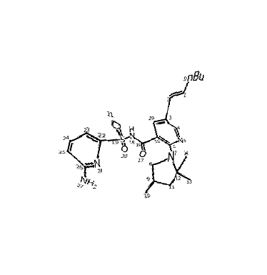 CCCCC=Cc1cnc(N2CC(C)CC2(C)C)c(C(=O)NS(=O)(=O)c2cccc(N)n2)c1